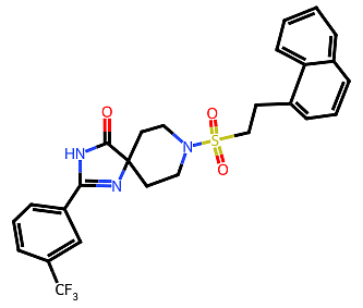 O=C1NC(c2cccc(C(F)(F)F)c2)=NC12CCN(S(=O)(=O)CCc1cccc3ccccc13)CC2